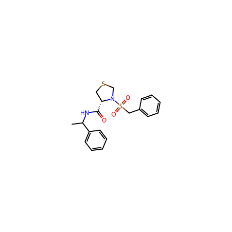 CC(NC(=O)[C@@H]1CSCN1S(=O)(=O)Cc1ccccc1)c1ccccc1